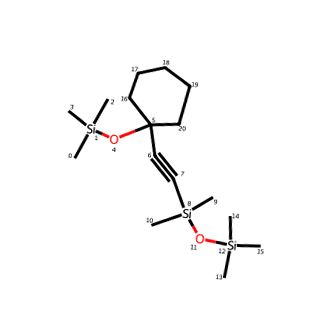 C[Si](C)(C)OC1(C#C[Si](C)(C)O[Si](C)(C)C)CCCCC1